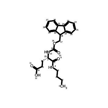 CCCCNC(=O)[C@H](CCC(=O)O)NC(=O)OCC1c2ccccc2-c2ccccc21